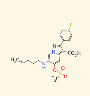 C=CCCCNc1cn2nc(-c3ccc(F)cc3)c(C(=O)OCC)c2cc1OS(=O)(=O)C(F)(F)F